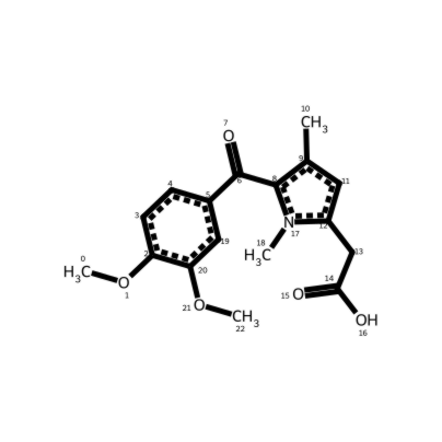 COc1ccc(C(=O)c2c(C)cc(CC(=O)O)n2C)cc1OC